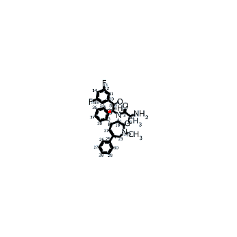 C[C@H](N)C(=O)N(C(=O)[C@H](O)c1cc(F)cc(F)c1)[C@@H]1C(=O)N(C)CC(c2ccccc2)=C[C@@H]1c1ccccc1